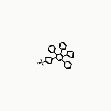 CP(C)(=O)c1ccc(-c2cc(-c3ccccc3)c(-c3ccccc3)c(-c3ccccc3)c2-c2ccccc2)cc1